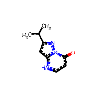 CC(C)c1cc2[nH]ccc(=O)n2n1